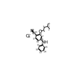 CC(C)CCOc1cc(Nc2ccccc2)ccc1[N+]#N.[Cl-]